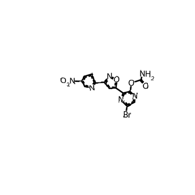 NC(=O)Oc1ncc(Br)nc1-c1cc(-c2ccc([N+](=O)[O-])cn2)no1